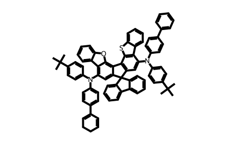 CC(C)(C)c1ccc(N(c2ccc(C3=CCCC=C3)cc2)c2cc3c(c4oc5ccccc5c24)-c2c(cc(N(c4ccc(-c5ccccc5)cc4)c4ccc(C(C)(C)C)cc4)c4c2sc2ccccc24)C32c3ccccc3-c3ccccc32)cc1